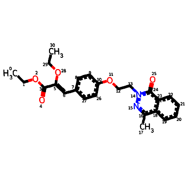 CCOC(=O)C(=Cc1ccc(OCCn2nc(C)c3ccccc3c2=O)cc1)OCC